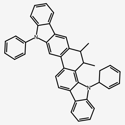 CC1c2cc3c4ccccc4n(-c4ccccc4)c3cc2-c2ccc3c4ccccc4n(C4C=CC=CC4)c3c2C1C